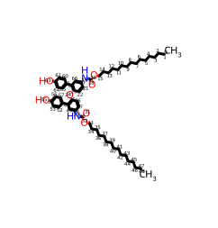 CCCCCCCCCCCCCCCCOC(=O)Nc1ccc(Oc2ccc(NC(=O)OCCCCCCCCCCCCCCCC)cc2-c2ccc(O)cc2)c(-c2ccc(O)cc2)c1